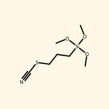 CO[Si](CCCSC#N)(OC)OC